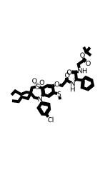 CCCCC1(CCCC)CN(c2ccc(Cl)cc2)c2cc(SC)c(OCC(=O)N[C@@H](C(=O)NCC(=O)OC(C)(C)C)c3ccccc3)cc2S(=O)(=O)C1